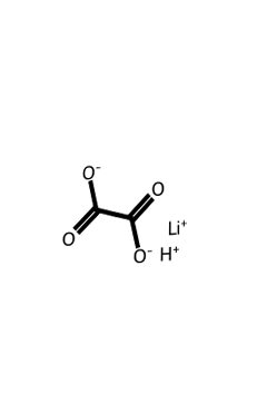 O=C([O-])C(=O)[O-].[H+].[Li+]